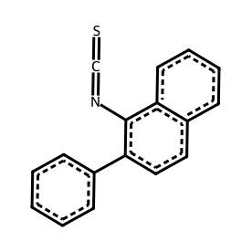 S=C=Nc1c(-c2ccccc2)ccc2ccccc12